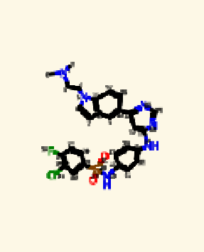 CN(C)CCn1ccc2cc(-c3cc(Nc4ccc(NS(=O)(=O)c5ccc(F)c(Cl)c5)cc4)ncn3)ccc21